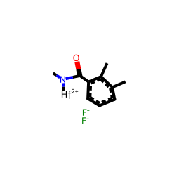 Cc1cccc(C(=O)[N](C)[Hf+2])c1C.[F-].[F-]